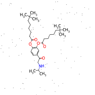 CC(C)NCC(=O)c1ccc(OC(=O)CCCCCC(C)(C)C)c(OC(=O)CCCCCC(C)(C)C)c1